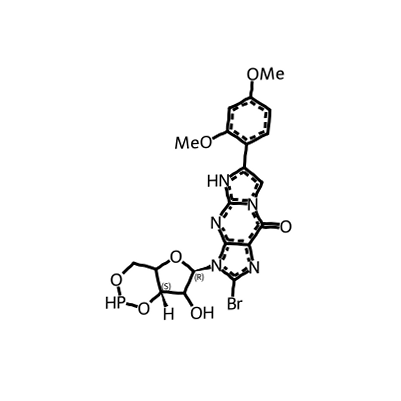 COc1ccc(-c2cn3c(=O)c4nc(Br)n([C@@H]5OC6COPO[C@H]6C5O)c4nc3[nH]2)c(OC)c1